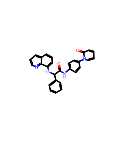 O=C(Nc1ccc(-n2ccccc2=O)cc1)C(Nc1cccc2cccnc12)c1ccccc1